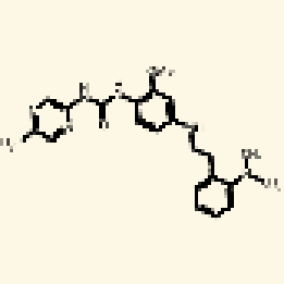 COc1cc(NCCc2ccccc2N(C)C)ccc1NC(=O)Nc1cnc(C)cn1